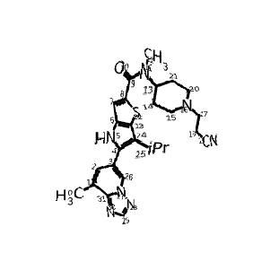 Cc1cc(-c2[nH]c3cc(C(=O)N(C)C4CCN(CCC#N)CC4)sc3c2C(C)C)cn2ncnc12